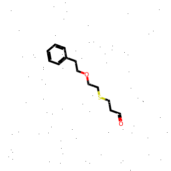 O=CCCSCCOCCc1ccccc1